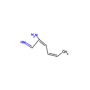 C/C=C\C=C(\N)C=N